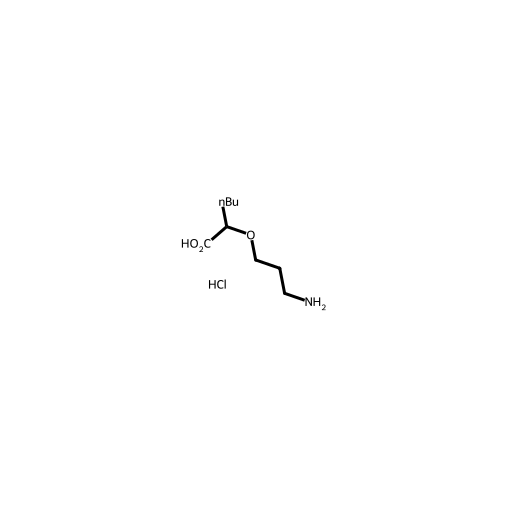 CCCCC(OCCCN)C(=O)O.Cl